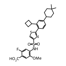 COc1cc(C(=O)O)c(F)cc1NS(=O)(=O)c1csc(-c2ccc(C3CCC(C)(C)CC3)cc2C2CCC2)n1